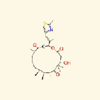 C/C(=C\c1csc(C)n1)[C@@H]1CC(=O)C(C)CCC[C@H](C)[C@H](C)[C@@H](C)C(=O)C(C)(C)[C@@H](O)CC(=O)O1